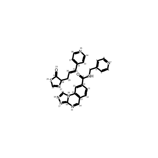 O=C(NCc1ccncc1)c1ccc2cnc3nncn3c2c1.O=C1SC=NC1CC=Cc1ccncc1